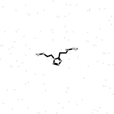 NOCCn1nnnc1CCNC(=O)O